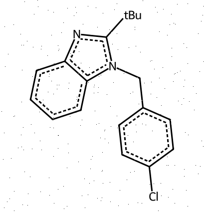 CC(C)(C)c1nc2ccccc2n1Cc1ccc(Cl)cc1